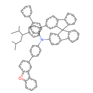 CC(C)CC(c1ccc(-c2ccc3c(c2)C2(c4ccccc4-3)c3ccccc3-c3ccc(N(c4ccc(-c5ccccc5)cc4)c4ccc(-c5ccc6oc7ccccc7c6c5)cc4)cc32)cc1)C(C)C